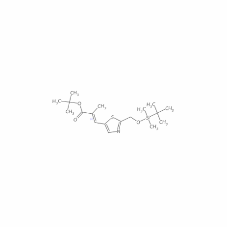 C/C(=C\c1cnc(CO[Si](C)(C)C(C)(C)C)s1)C(=O)OC(C)(C)C